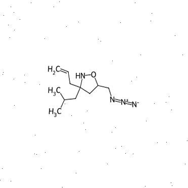 C=CCC1(CC(C)C)CC(CN=[N+]=[N-])ON1